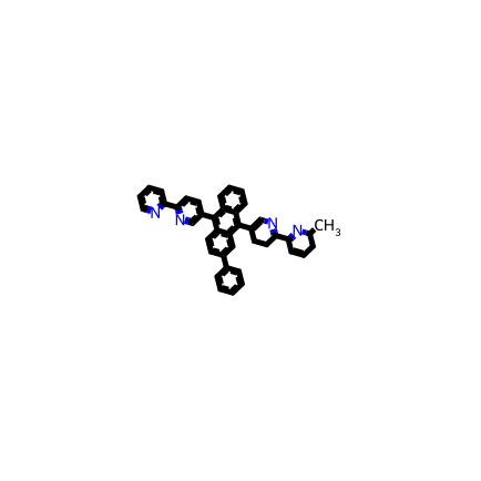 CC1CC=CC(C2=NC=C(c3c4ccccc4c(-c4ccc(-c5ccccn5)nc4)c4ccc(-c5ccccc5)cc34)CC2)=N1